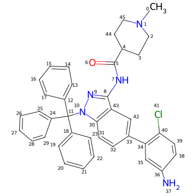 CN1CCC(C(=O)Nc2nn(C(c3ccccc3)(c3ccccc3)c3ccccc3)c3ccc(-c4cc(N)ccc4Cl)cc23)CC1